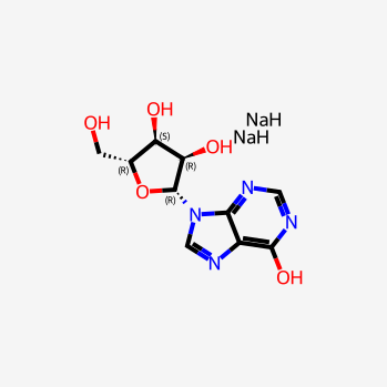 OC[C@H]1O[C@@H](n2cnc3c(O)ncnc32)[C@H](O)[C@@H]1O.[NaH].[NaH]